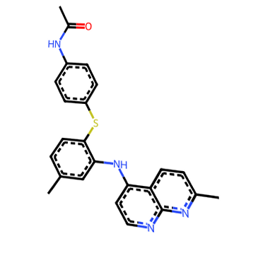 CC(=O)Nc1ccc(Sc2ccc(C)cc2Nc2ccnc3nc(C)ccc23)cc1